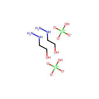 NNCCO.NNCCO.[O-][Cl+3]([O-])([O-])O.[O-][Cl+3]([O-])([O-])O